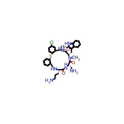 Cc1[nH]c2ccccc2c1C[C@H]1C(=O)NCc2cc(Cl)ccc2Sc2ccccc2CN[C@@H](CCCN)C(=O)N[C@@H](CN)C(=O)N1C